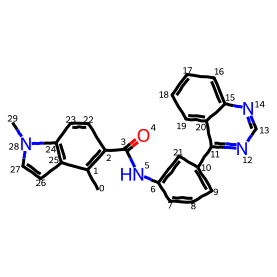 Cc1c(C(=O)Nc2cccc(-c3ncnc4ccccc34)c2)ccc2c1ccn2C